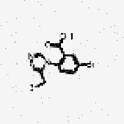 O=C(O)c1cc(Br)ccc1-n1cnnc1CBr